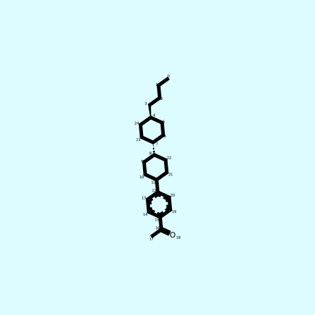 CCCC[C@H]1CC[C@H](C2CCC(c3ccc(C(C)=O)cc3)CC2)CC1